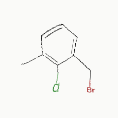 Cc1cccc(CBr)c1Cl